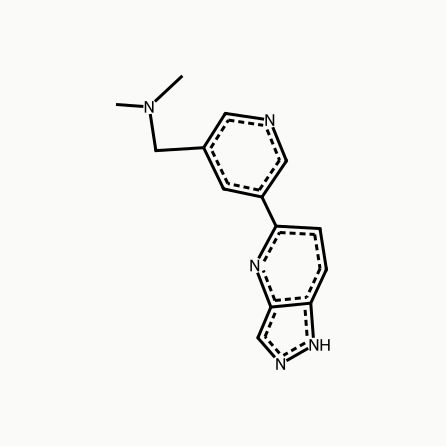 CN(C)Cc1cncc(-c2ccc3[nH]ncc3n2)c1